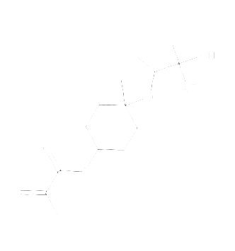 C=C(C)C(=O)OC1CCC(C)(OC(C)C(O)(C(F)(F)F)C(F)(F)F)CC1